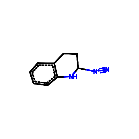 N#[N+]C1CCc2ccccc2N1